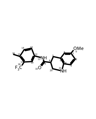 COc1ccc2c(c1)CC(C(=O)Nc1ccc(C)c(C(F)(F)F)c1)CN2